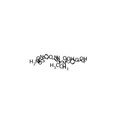 CC(C)[C@H](CN[C@@H](Cc1ccc(OCC(O)CF)cc1)C(=O)O)n1cc(COc2ccc3nc(S(N)(=O)=O)sc3c2)nn1